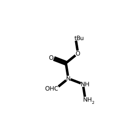 CC(C)(C)OC(=O)N(C=O)NN